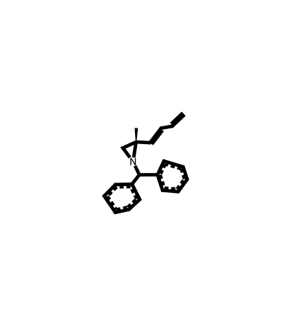 C=CC=C[C@@]1(C)CN1C(c1ccccc1)c1ccccc1